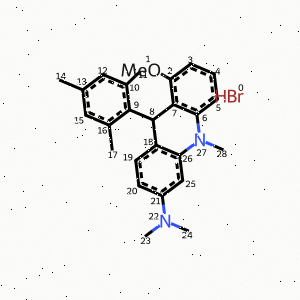 Br.COc1cccc2c1C(c1c(C)cc(C)cc1C)c1ccc(N(C)C)cc1N2C